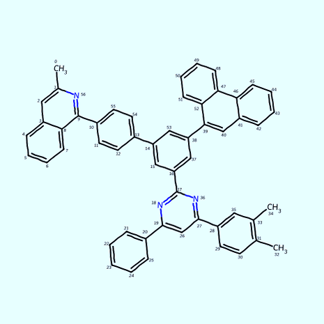 Cc1cc2ccccc2c(-c2ccc(-c3cc(-c4nc(-c5ccccc5)cc(-c5ccc(C)c(C)c5)n4)cc(-c4cc5ccccc5c5ccccc45)c3)cc2)n1